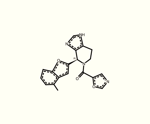 Cc1cccc2oc([C@H]3c4nc[nH]c4CCN3C(=O)c3cnco3)cc12